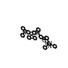 c1ccc(-c2nc(-c3ccccc3)nc(-c3cccc4c3oc3ccc(-n5c6ccccc6c6cc7c(cc65)C5(c6ccccc6-c6ccccc65)c5cc6c(cc5-7)c5ccccc5n6-c5ccccc5)cc34)n2)cc1